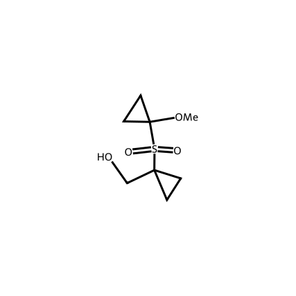 COC1(S(=O)(=O)C2(CO)CC2)CC1